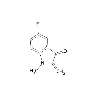 C=C1C(=O)c2cc(F)ccc2N1C